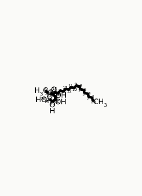 CCCCCCCC/C=C\CCCCCCCC(=O)C1(OCC)O[C@H](CO)[C@@H](O)[C@H](O)[C@H]1O